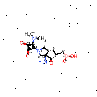 CN(C)c1c(N2C[C@H](CCCB(O)O)[C@](N)(C=O)C2)c(=O)c1=O